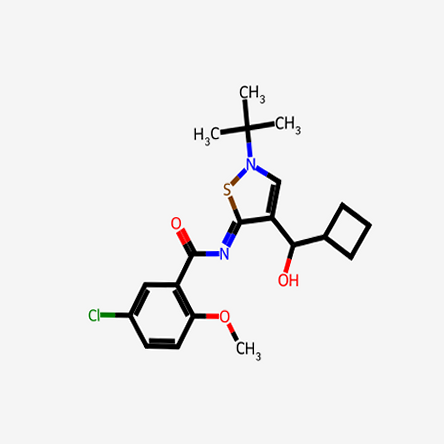 COc1ccc(Cl)cc1C(=O)N=c1sn(C(C)(C)C)cc1C(O)C1CCC1